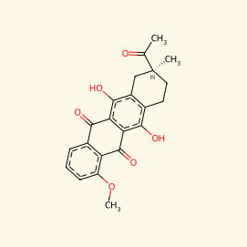 COc1cccc2c1C(=O)c1c(O)c3c(c(O)c1C2=O)C[C@@](C)(C(C)=O)CC3